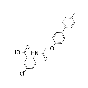 Cc1ccc(-c2ccc(OCC(=O)Nc3ccc(Cl)cc3C(=O)O)cc2)cc1